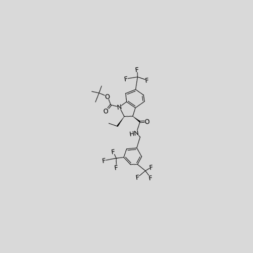 CC[C@@H]1[C@H](C(=O)NCc2cc(C(F)(F)F)cc(C(F)(F)F)c2)c2ccc(C(F)(F)F)cc2N1C(=O)OC(C)(C)C